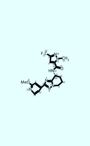 COc1cc(-c2nc3n(n2)CCC[C@H]3NC(=O)c2cc(C(F)(F)F)nn2C)ccn1